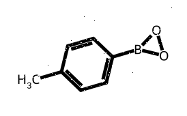 Cc1ccc(B2OO2)cc1